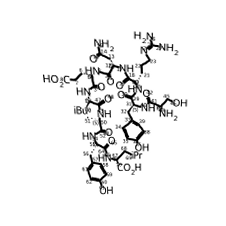 CC[C@H](C)[C@H](NC(=O)[C@H](CCC(=O)O)NC(=O)[C@H](CC(N)=O)NC(=O)[C@H](CCCN=C(N)N)NC(=O)[C@H](Cc1ccc(O)cc1)NC(=O)[C@@H](N)CO)C(=O)N[C@@H](C)C(=O)N[C@@H](Cc1ccc(O)cc1)C(=O)N[C@@H](CC(C)C)C(=O)O